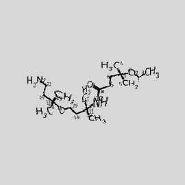 CCOC(C)(C)CCC(=O)NC(C)(C)CCOC(C)(C)CCN